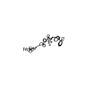 O=C(OCCCCOP(=O)(O)O)c1cccc(N2C(=O)C(=Cc3ccc(-c4ccccc4Cl)o3)SC2=S)c1